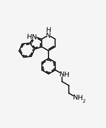 NCCCNc1cccc(C2=CCNc3[nH]c4ccccc4c32)c1